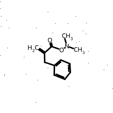 C=C(Cc1ccccc1)C(=O)ON(C)C